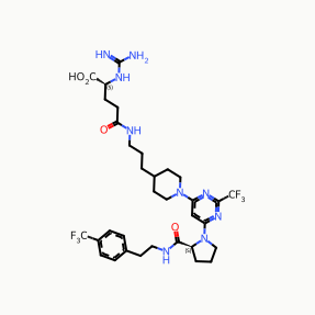 N=C(N)N[C@@H](CCC(=O)NCCCC1CCN(c2cc(N3CCC[C@H]3C(=O)NCCc3ccc(C(F)(F)F)cc3)nc(C(F)(F)F)n2)CC1)C(=O)O